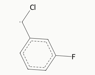 Fc1cccc([CH]Cl)c1